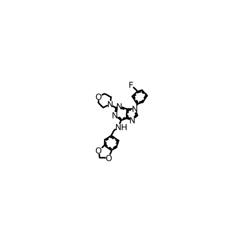 Fc1cccc(-n2cnc3c(NCc4ccc5c(c4)OCO5)nc(N4CCOCC4)nc32)c1